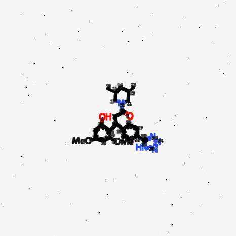 COc1cc(O)c(C(CC(=O)N2C[C@H](C)C[C@H](C)C2)c2ccc(-c3nnn[nH]3)cc2)c(OC)c1